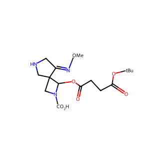 CON=C1CNCC12CN(C(=O)O)C2OC(=O)CCC(=O)OC(C)(C)C